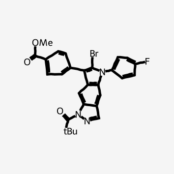 COC(=O)c1ccc(-c2c(Br)n(-c3ccc(F)cc3)c3cc4cnn(C(=O)C(C)(C)C)c4cc23)cc1